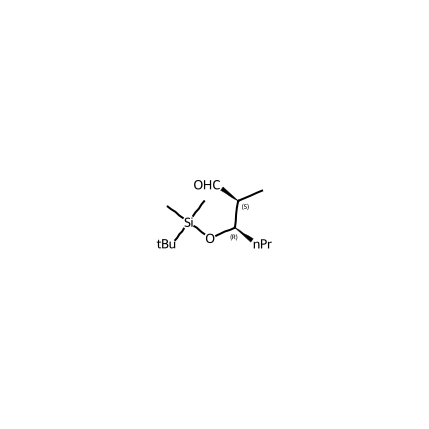 CCC[C@@H](O[Si](C)(C)C(C)(C)C)[C@H](C)C=O